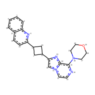 c1ccc2nc(C3CC(c4cn5ccnc(N6CCOCC6)c5n4)C3)ccc2c1